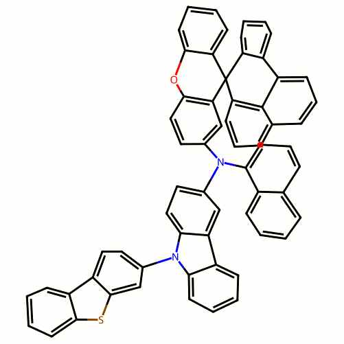 c1ccc2c(c1)Oc1ccc(N(c3ccc4c(c3)c3ccccc3n4-c3ccc4c(c3)sc3ccccc34)c3cccc4ccccc34)cc1C21c2ccccc2-c2cccc3cccc1c23